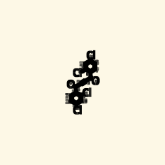 O=C(C#CC(=O)c1ccc(Cl)cc1Cl)c1ccc(Cl)cc1Cl